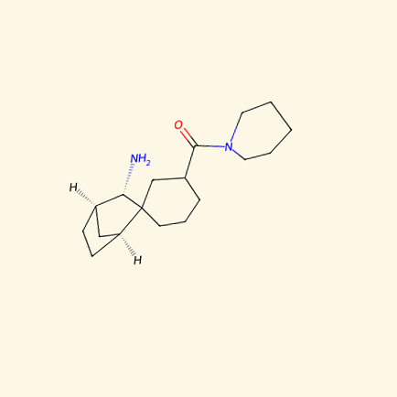 N[C@H]1[C@@H]2CC[C@@H](C2)C12CCCC(C(=O)N1CCCCC1)C2